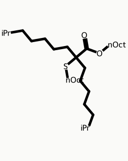 CCCCCCCCOC(=O)C(CCCCCC(C)C)(CCCCCC(C)C)SCCCCCCCC